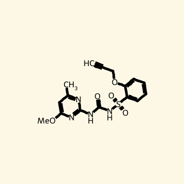 C#CCOc1ccccc1S(=O)(=O)NC(=O)Nc1nc(C)cc(OC)n1